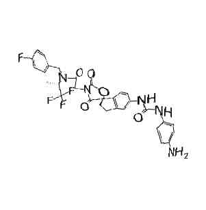 C[C@H](N(Cc1ccc(F)cc1)C(=O)CN1C(=O)O[C@@]2(CCc3cc(NC(=O)Nc4ccc(N)cc4)ccc32)C1=O)C(F)(F)F